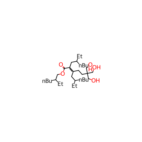 CCCCC(CC)COC(=O)C(CC(CC)CCCC)=C(CCC(CO)(CO)CO)CC(CC)CCCC